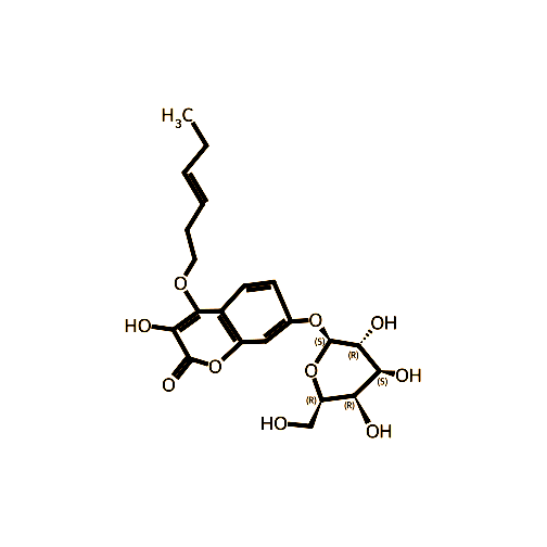 CCC=CCCOc1c(O)c(=O)oc2cc(O[C@@H]3O[C@H](CO)[C@H](O)[C@H](O)[C@H]3O)ccc12